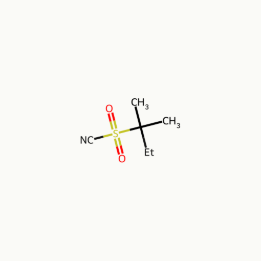 CCC(C)(C)S(=O)(=O)C#N